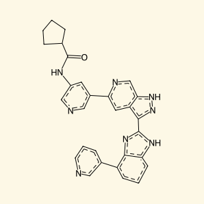 O=C(Nc1cncc(-c2cc3c(-c4nc5c(-c6cccnc6)cccc5[nH]4)n[nH]c3cn2)c1)C1CCCC1